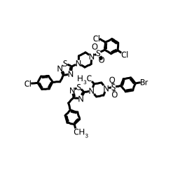 Cc1ccc(Cc2nsc(N3CCN(S(=O)(=O)c4ccc(Br)cc4)CC3C)n2)cc1.O=S(=O)(c1cc(Cl)ccc1Cl)N1CCN(c2nc(Cc3ccc(Cl)cc3)ns2)CC1